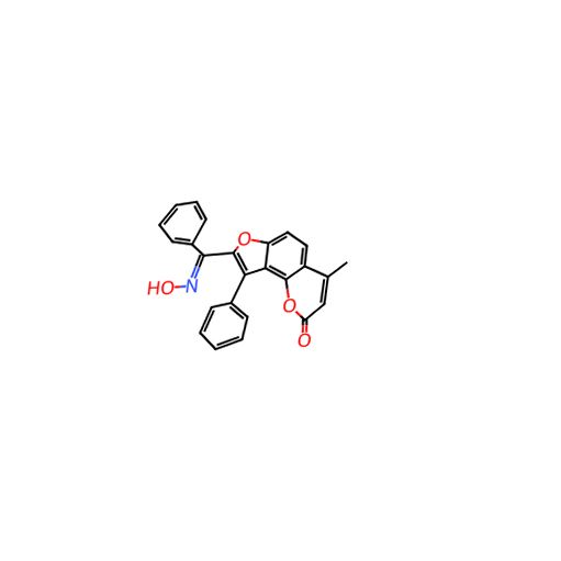 Cc1cc(=O)oc2c1ccc1oc(/C(=N/O)c3ccccc3)c(-c3ccccc3)c12